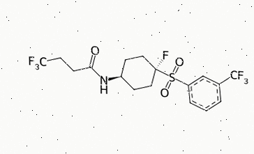 O=C(CCC(F)(F)F)N[C@H]1CC[C@@](F)(S(=O)(=O)c2cccc(C(F)(F)F)c2)CC1